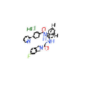 Cl.O=C(NC12C[C@@H]3C[C@@H](CC(NCC(=O)N4Cc5ccc(F)cc5C4)(C3)C1)C2)c1ccc(-c2ccccn2)cc1